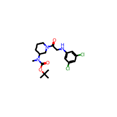 CN(C(=O)OC(C)(C)C)C1CCCN(C(=O)CNc2cc(Cl)cc(Cl)c2)C1